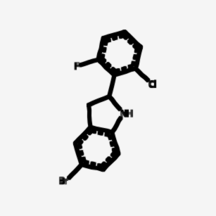 Fc1cccc(Cl)c1C1Cc2cc(Br)ccc2N1